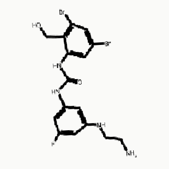 NCCNc1cc(F)cc(NC(=O)Nc2cc(Br)cc(Br)c2CO)c1